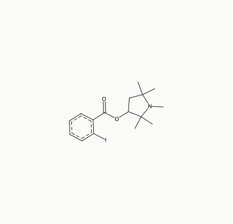 CN1C(C)(C)CC(OC(=O)c2ccccc2I)C1(C)C